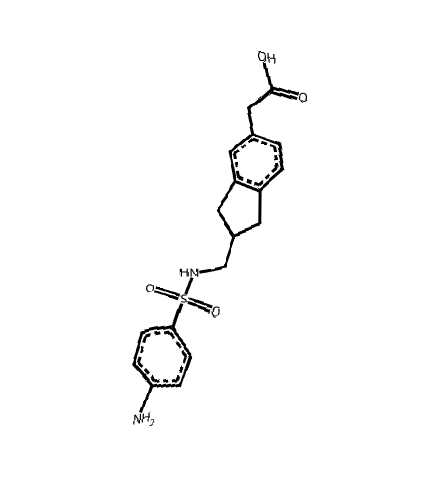 Nc1ccc(S(=O)(=O)NCC2Cc3ccc(CC(=O)O)cc3C2)cc1